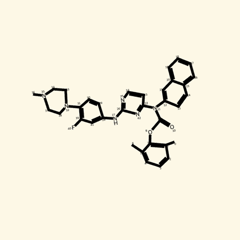 Cc1cccc(C)c1OC(=O)N(c1ccc2ccccc2c1)c1ccnc(Nc2ccc(N3CCN(C)CC3)c(F)c2)n1